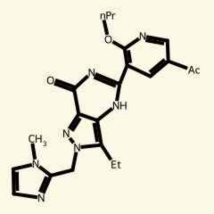 CCCOc1ncc(C(C)=O)cc1-c1nc(=O)c2nn(Cc3nccn3C)c(CC)c2[nH]1